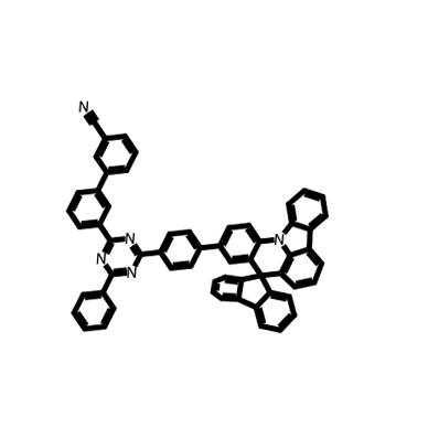 N#Cc1cccc(-c2cccc(-c3nc(-c4ccccc4)nc(-c4ccc(-c5ccc6c(c5)C5(c7ccccc7-c7ccccc75)c5cccc7c8ccccc8n-6c57)cc4)n3)c2)c1